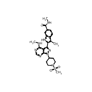 CNC(=O)c1ccc2c(C)c(-c3nn(C4CCN(S(C)(=O)=O)CC4)c4ncnc(NC)c34)[nH]c2c1